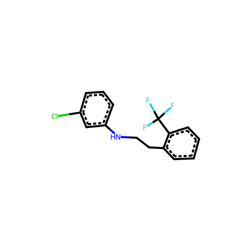 FC(F)(F)c1ccccc1CCNc1cccc(Cl)c1